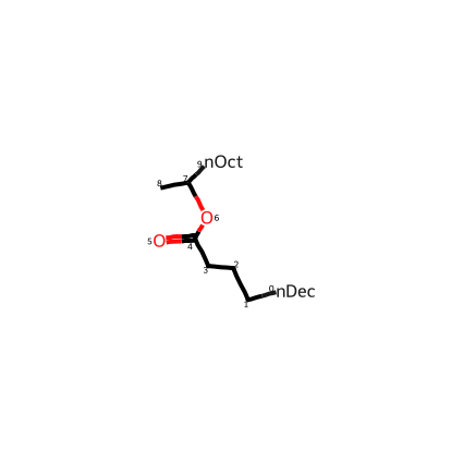 CCCCCCCCCCCCCC(=O)OC(C)CCCCCCCC